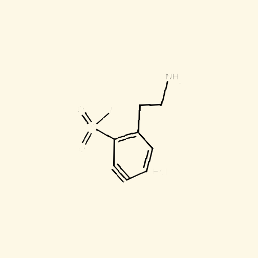 Cl.NCCc1ccc#cc1S(=O)(=O)F